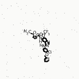 C=CC(=O)N1CCC[C@@H]1OC(=O)Nc1cc2c(Nc3ccc(OCc4ccccn4)c(Cl)c3)ncnc2cc1OCC(F)(F)F